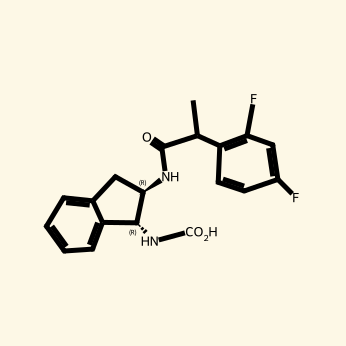 CC(C(=O)N[C@@H]1Cc2ccccc2[C@H]1NC(=O)O)c1ccc(F)cc1F